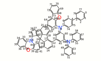 c1ccc(-c2ccc(N(c3cc(-c4cccc5c4-c4ccccc4C54c5ccccc5N5c6ccccc6Oc6cccc4c65)cc(N(c4ccccc4)c4ccccc4)c3)c3cccc4c3oc3ccccc34)cc2)cc1